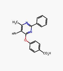 CCCc1c(C)nc(-c2ccccc2)nc1Oc1ccc(C(=O)O)cc1